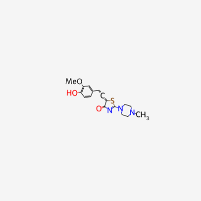 COc1cc(C=C=C2SC(N3CCN(C)CC3)=NC2=O)ccc1O